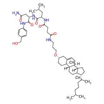 CC(C)CCCC(C)[C@H]1CC[C@H]2[C@@H]3CC=C4C[C@@H](OCCCNC(=O)CCC(=O)NC(CC(C)C)C(=O)NC(CC(N)=O)C(=O)Nc5ccc(CO)cc5)CC[C@]4(C)[C@H]3CC[C@]12C